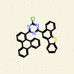 Clc1nc(-c2cc3c4ccccc4sc3c3ccccc23)nc(-c2cccc3c4ccccc4c4ccccc4c23)n1